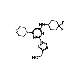 OCc1ccn(-c2nc(NC3CCC(F)(F)CC3)cc(N3CCSCC3)n2)n1